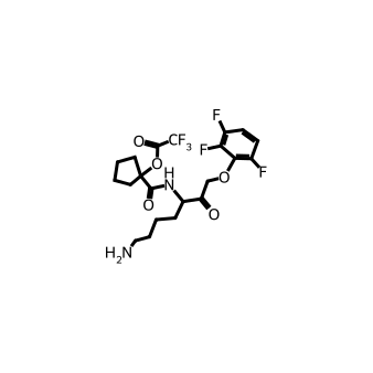 NCCCCC(NC(=O)C1(OC(=O)C(F)(F)F)CCCC1)C(=O)COc1c(F)ccc(F)c1F